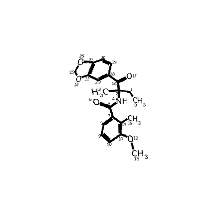 CCC(C)(NC(=O)c1cccc(OC)c1C)C(=O)c1ccc2c(c1)OCO2